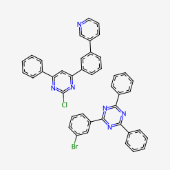 Brc1cccc(-c2nc(-c3ccccc3)nc(-c3ccccc3)n2)c1.Clc1nc(-c2ccccc2)cc(-c2cccc(-c3cccnc3)c2)n1